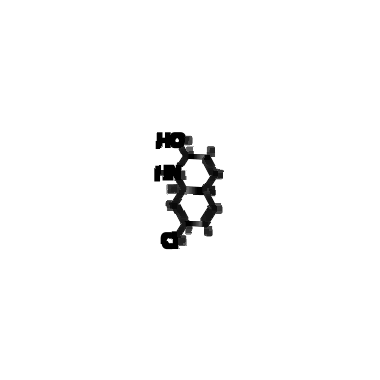 OC1C=Cc2ccc(Cl)cc2N1